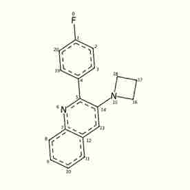 Fc1ccc(-c2nc3ccccc3cc2N2CCC2)cc1